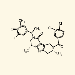 C[C@@H]1Cc2nn3c(c2CN1C(=O)c1ccc(Cl)c(Cl)c1)C(=O)N([C@H](C)c1cc(F)c(=O)n(C)c1)C[C@H]3C